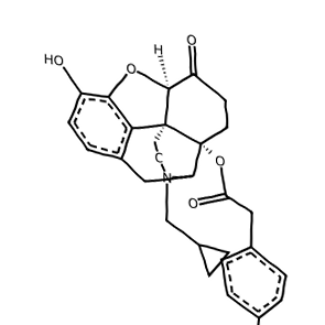 Cc1ccc(CC(=O)O[C@@]23CCC(=O)[C@@H]4Oc5c(O)ccc6c5[C@@]42CCN(CC2CC2)C3C6)cc1